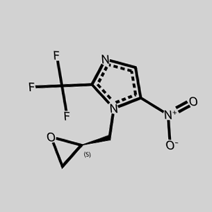 O=[N+]([O-])c1cnc(C(F)(F)F)n1C[C@H]1CO1